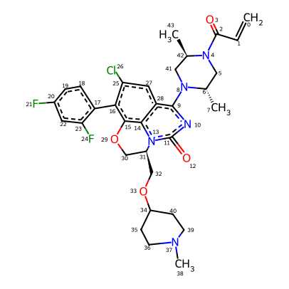 C=CC(=O)N1C[C@H](C)N(c2nc(=O)n3c4c(c(-c5ccc(F)cc5F)c(Cl)cc24)OC[C@@H]3COC2CCN(C)CC2)C[C@H]1C